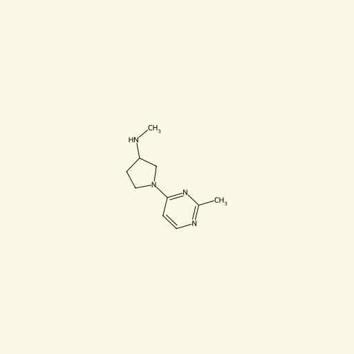 CNC1CCN(c2ccnc(C)n2)C1